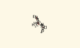 CCN1CCN(CCC(=O)N[C@@H](C)/C=C/c2cnc(Oc3ccc(OCC4CC4)cc3Cl)s2)CC1